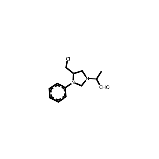 CC(C=O)N1CC(CCl)N(c2ccccc2)C1